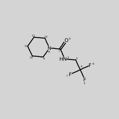 O=C(NCC(F)(F)F)N1CCCCC1